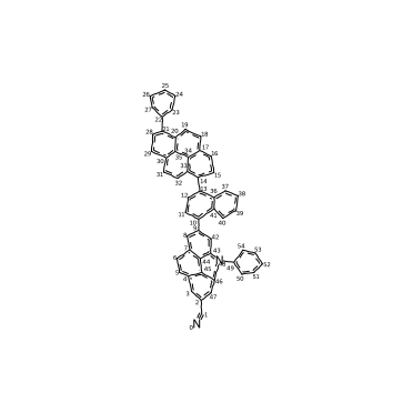 N#Cc1cc2ccc3cc(-c4ccc(-c5ccc6ccc7c(-c8ccccc8)ccc8ccc5c6c87)c5ccccc45)cc4c3c2c(c1)n4-c1ccccc1